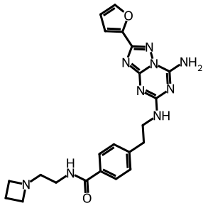 Nc1nc(NCCc2ccc(C(=O)NCCN3CCC3)cc2)nc2nc(-c3ccco3)nn12